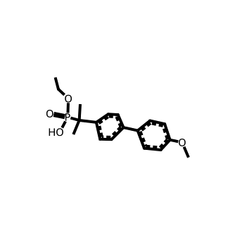 CCOP(=O)(O)C(C)(C)c1ccc(-c2ccc(OC)cc2)cc1